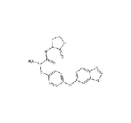 CC(Oc1ccc(Oc2ccc3ncsc3c2)cc1)C(=O)OC1CCOC1=O